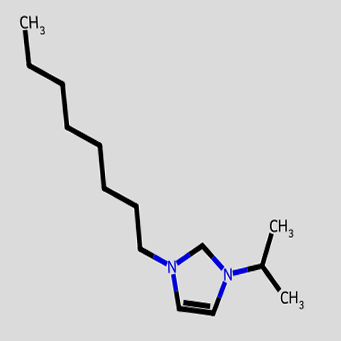 CCCCCCCCN1C=CN(C(C)C)C1